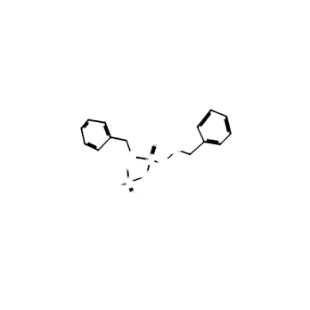 O=P(O)(O)OP(=O)(OSCc1ccccc1)SCc1ccccc1